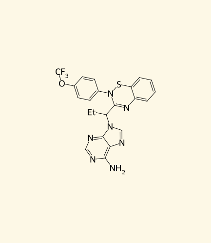 CCC(C1=Nc2ccccc2SN1c1ccc(OC(F)(F)F)cc1)n1cnc2c(N)ncnc21